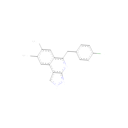 COc1cc2c(Cc3ccc(F)cc3)nc3[nH]ncc3c2cc1OC